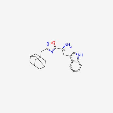 N[C@@H](Cc1c[nH]c2ccccc12)c1nc(CC23CC4CC(CC(C4)C2)C3)no1